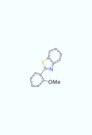 COc1ccccc1-c1nc2ccccc2s1